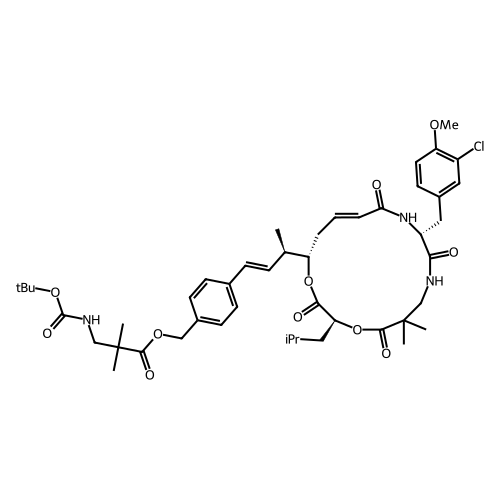 COc1ccc(C[C@H]2NC(=O)/C=C/C[C@@H]([C@H](C)/C=C/c3ccc(COC(=O)C(C)(C)CNC(=O)OC(C)(C)C)cc3)OC(=O)[C@H](CC(C)C)OC(=O)C(C)(C)CNC2=O)cc1Cl